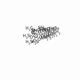 CCCCC(C)C(C)(C)C(C)(C)C(C)(C)C(C)(C)C(O[SiH3])(O[SiH3])C(O[SiH3])(O[SiH3])c1c(O[SiH3])c(O[SiH3])c(O[SiH3])c(O[SiH3])c1/C(=C\[SiH2]C)O[SiH3]